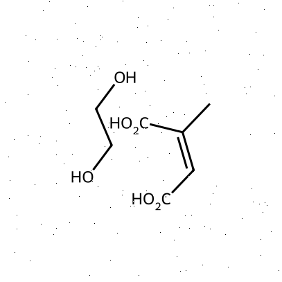 C/C(=C/C(=O)O)C(=O)O.OCCO